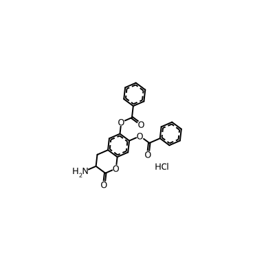 Cl.NC1Cc2cc(OC(=O)c3ccccc3)c(OC(=O)c3ccccc3)cc2OC1=O